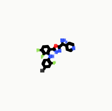 CCc1ccc(Nc2c(-c3nnc(C(N)c4ccncc4)o3)ccc(F)c2F)c(F)c1